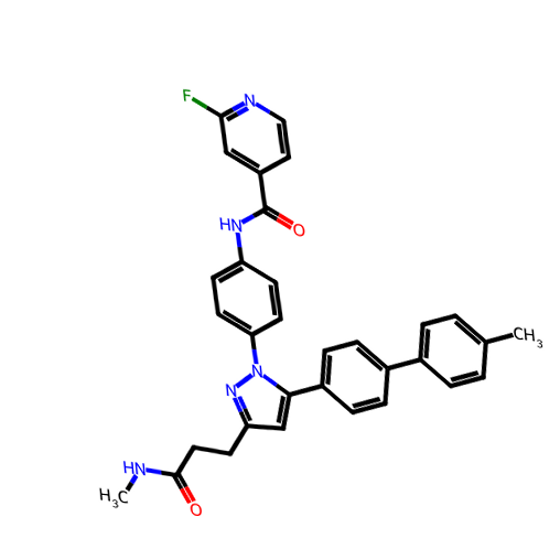 CNC(=O)CCc1cc(-c2ccc(-c3ccc(C)cc3)cc2)n(-c2ccc(NC(=O)c3ccnc(F)c3)cc2)n1